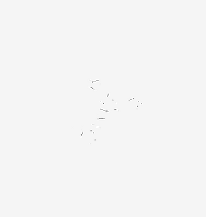 Cc1ncc(Cn2c(=O)c3cc(S(=O)(=O)N(C(=O)OC(C)(C)C)C4(C)CC4)sc3n(Cc3sc(C)nc3C)c2=O)s1